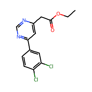 CCOC(=O)Cc1cc(-c2ccc(Cl)c(Cl)c2)ncn1